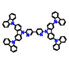 c1ccc2c(c1)c1ccccc1n2-c1ccc2c(c1)c1cc(-n3c4ccccc4c4ccccc43)ccc1n2-c1ccc(-c2ccc(-n3c4ccc(-n5c6ccccc6c6ccccc65)cc4c4cc(-n5c6ccccc6c6ccccc65)ccc43)nc2)cn1